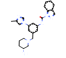 Cc1cn(-c2cc(CN3CCC[C@H](N)C3)cc(NC(=O)n3ncc4ccccc43)c2)cn1